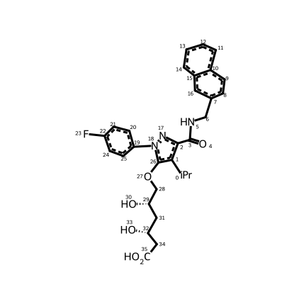 CC(C)c1c(C(=O)NCc2ccc3ccccc3c2)nn(-c2ccc(F)cc2)c1OC[C@@H](O)C[C@@H](O)CC(=O)O